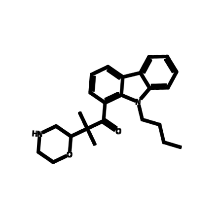 CCCCn1c2ccccc2c2cccc(C(=O)C(C)(C)C3CNCCO3)c21